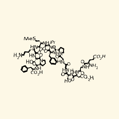 CSCC[C@H](NC(=O)[C@@H](NC(=O)[C@H](Cc1ccccc1)NC(=O)[C@@H]1CCCN1C(=O)CNC(=O)CNC(=O)[C@H](CO)NC(=O)[C@H](CC(=O)O)NC(=O)CNC(=O)[C@@H](N)CCC(=O)O)C(C)C)C(=O)N[C@@H](CCCCN)C(=O)N[C@@H](CO)C(=O)N1CCC[C@H]1C(=O)N[C@@H](Cc1ccccc1)C(=O)O